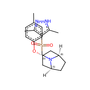 Cc1ccc(O[C@@H]2C[C@H]3CC[C@@H](C2)N3CS(=O)(=O)c2c(C)n[nH]c2C)cc1